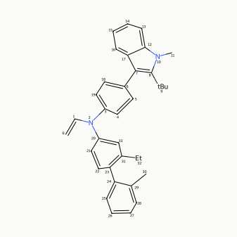 C=CN(c1ccc(-c2c(C(C)(C)C)n(C)c3ccccc23)cc1)c1ccc(-c2ccccc2C)c(CC)c1